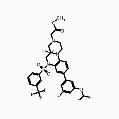 COC(=O)CN1CCN2c3ccc(-c4cc(F)cc(OC(F)F)c4)cc3N(S(=O)(=O)c3cccc(C(F)(F)F)c3)C[C@@H]2C1